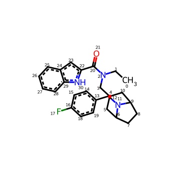 CCN(CC1CC2CCC(C1)N2Cc1ccc(F)cc1)C(=O)c1cc2ccccc2[nH]1